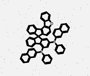 c1ccc(N(c2cc(N(c3ccccc3)c3ccc4ccccc4c3)c3c(c2)C2(c4ccccc4-3)c3ccccc3-c3c2ccc2oc4ccccc4c32)c2ccc3ccccc3c2)cc1